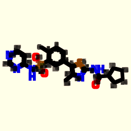 Cc1ccc(-c2sc(NC(=O)C3CCCC3)nc2C)cc1S(=O)(=O)Nc1ccncn1